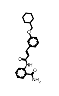 NC(=O)c1ccccc1NC(=O)C=Cc1cccc(OCC2CCCCC2)c1